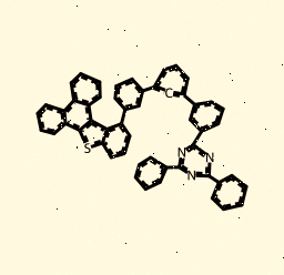 c1ccc(-c2nc(-c3ccccc3)nc(-c3cccc(-c4cccc(-c5cccc(-c6cccc7sc8c9ccccc9c9ccccc9c8c67)c5)c4)c3)n2)cc1